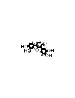 O=C(C(CBr)c1ccc(O)c(O)c1)C(CBr)c1ccc(O)c(O)c1